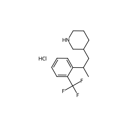 CC(CC1CCCNC1)c1ccccc1C(F)(F)F.Cl